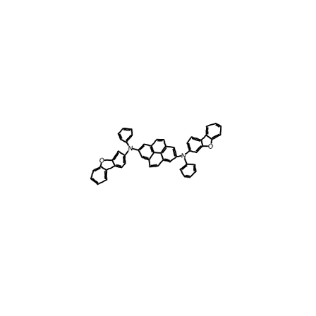 c1ccc(N(c2cc3ccc4cc(N(c5ccccc5)c5ccc6c(c5)oc5ccccc56)cc5ccc(c2)c3c45)c2ccc3c(c2)oc2ccccc23)cc1